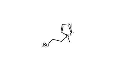 CC(C)(C)CC[N+]1(C)[C]=NC=C1